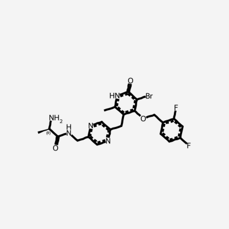 Cc1[nH]c(=O)c(Br)c(OCc2ccc(F)cc2F)c1Cc1cnc(CNC(=O)[C@@H](C)N)cn1